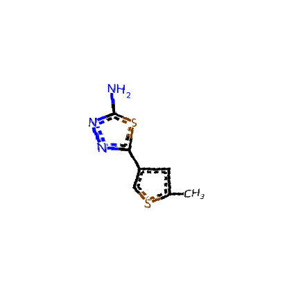 Cc1cc(-c2nnc(N)s2)cs1